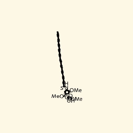 CC#CC#CC#CC#CC#CC#CC#CC#CC#CC#CC(=S)N[C@H]1C[C@H](COC)C(OP(=O)(O)OC)[C@@H]1OC